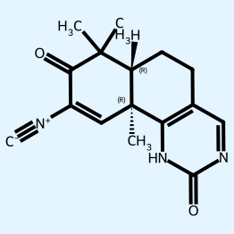 [C-]#[N+]C1=C[C@]2(C)c3[nH]c(=O)ncc3CC[C@H]2C(C)(C)C1=O